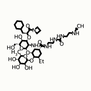 C#CNCCNC(=O)NCCNC(=O)[C@@H]1C[C@H](CC)[C@@H](O[C@@H]2O[C@@H](C)[C@@H](O)[C@@H](O)[C@@H]2O)[C@H](O[C@@H]2O[C@H](CO)[C@H](O)[C@H](O[C@@H](CC3CCCCC3)C(=O)N3CCC3)[C@H]2NC(C)=O)C1